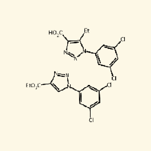 CCOC(=O)c1cn(-c2cc(Cl)cc(Cl)c2)nn1.CCc1c(C(=O)O)nnn1-c1cc(Cl)cc(Cl)c1